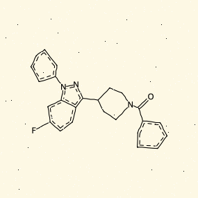 O=C(c1ccccc1)N1CCC(c2nn(-c3ccccc3)c3cc(F)ccc23)CC1